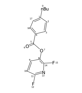 CCCCc1ccc(C(=O)Oc2ccc(F)nc2F)cc1